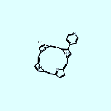 C1=Cc2cc3cc(-c4ccncc4)c(cc4nc(cc5ccc(cc1n2)[nH]5)C=C4)[nH]3.[Co]